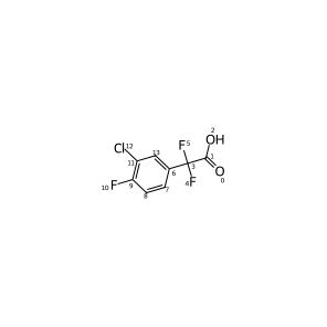 O=C(O)C(F)(F)c1ccc(F)c(Cl)c1